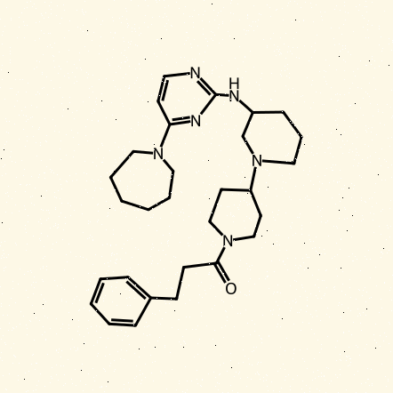 O=C(CCc1ccccc1)N1CCC(N2CCCC(Nc3nccc(N4CCCCCC4)n3)C2)CC1